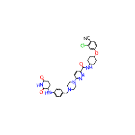 N#Cc1ccc(OC2CCC(NC(=O)c3ccc(N4CCN(Cc5ccc(NC6CCC(=O)NC6=O)cc5)CC4)nn3)CC2)cc1Cl